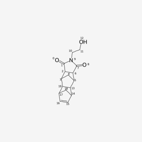 O=C1C2C3CC(C2C(=O)N1CCO)C1C2C=CC(C2)C31